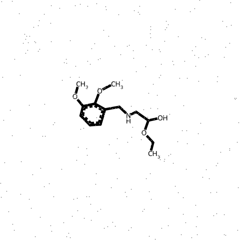 CCOC(O)CNCc1cccc(OC)c1OC